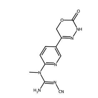 CN(C(N)=NC#N)c1ccc(C2=NNC(=O)OC2)cn1